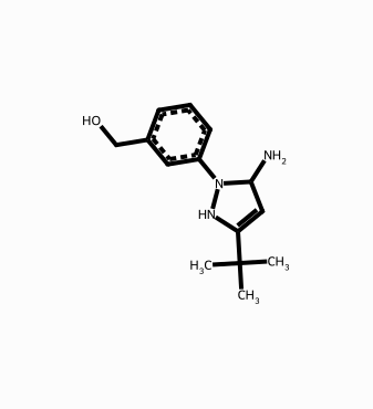 CC(C)(C)C1=CC(N)N(c2cccc(CO)c2)N1